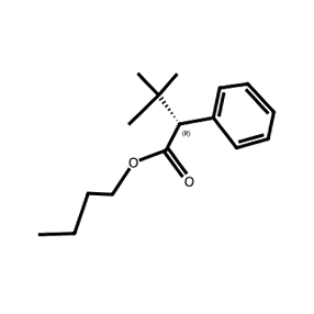 CCCCOC(=O)[C@@H](c1ccccc1)C(C)(C)C